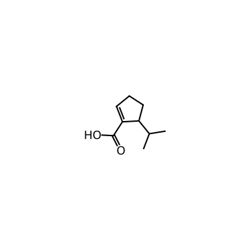 CC(C)C1CCC=C1C(=O)O